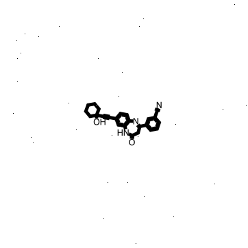 N#Cc1cccc(C2=Nc3ccc(C#CC4(O)CCCCC4)cc3NC(=O)C2)c1